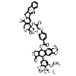 CC[C@@]1(OC(=O)COc2ccc(C(=O)O[C@H]3c4cc5c(cc4C(c4cc(OC)c(OC)c(OC)c4)C4C(=O)OCC43)OCO5)cc2)C(=O)OCc2c1cc1n(c2=O)Cc2cc3ccccc3nc2-1